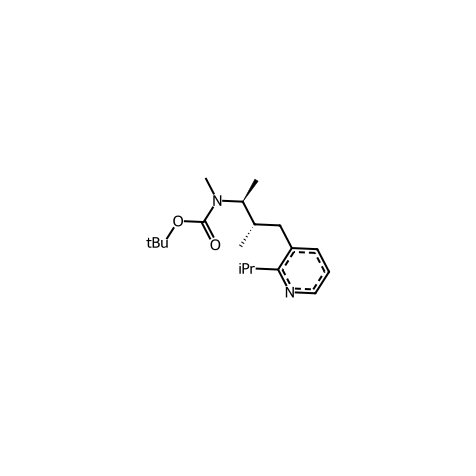 CC(C)c1ncccc1C[C@H](C)[C@H](C)N(C)C(=O)OC(C)(C)C